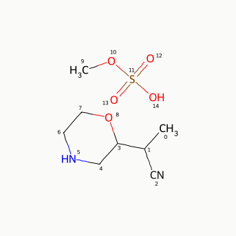 CC(C#N)C1CNCCO1.COS(=O)(=O)O